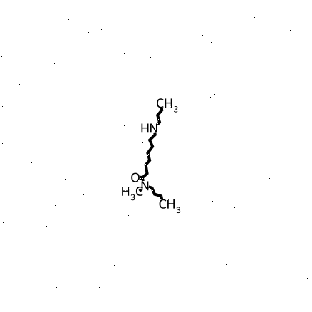 CCCCNCCCCCCCC(=O)N(C)CCCC